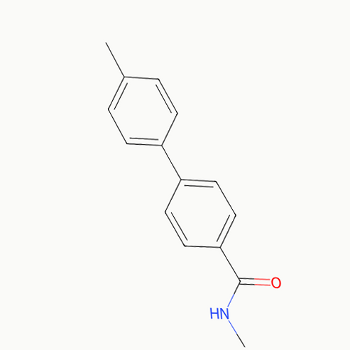 CNC(=O)c1ccc(-c2ccc(C)cc2)cc1